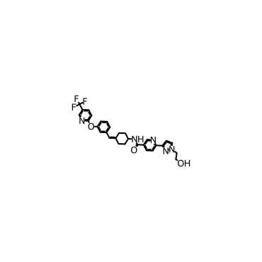 O=C(NC1CCC(=Cc2cccc(Oc3ccc(C(F)(F)F)cn3)c2)CC1)c1ccc(-c2ccn(CCO)n2)nc1